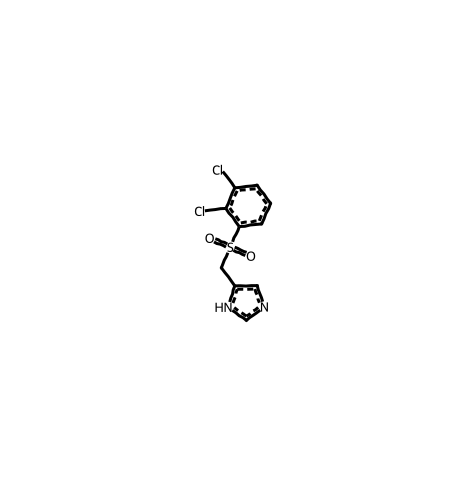 O=S(=O)(Cc1cnc[nH]1)c1cccc(Cl)c1Cl